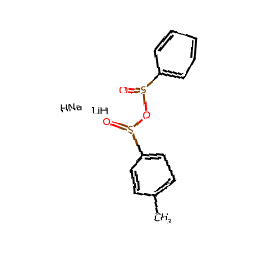 Cc1ccc(S(=O)OS(=O)c2ccccc2)cc1.[LiH].[NaH]